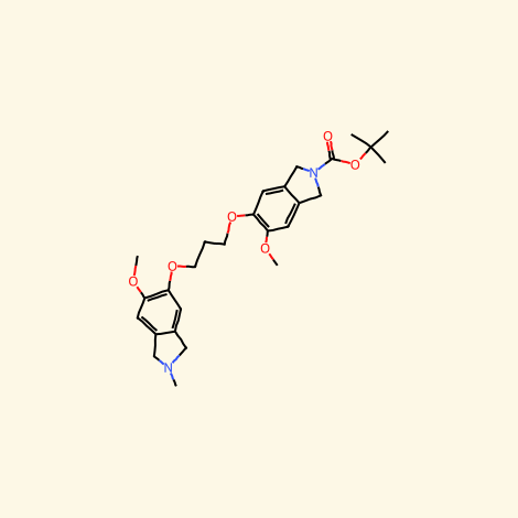 COc1cc2c(cc1OCCCOc1cc3c(cc1OC)CN(C(=O)OC(C)(C)C)C3)CN(C)C2